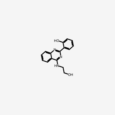 OCCNc1nc(-c2ccccc2O)nc2ccccc12